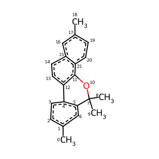 Cc1ccc2c(c1)C(C)(C)Oc1c-2ccc2cc(C)ccc12